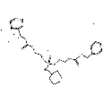 O=C(OCCOP(=O)(NC1CCCCC1)OCCOC(=O)OCc1ccccc1)OCc1ccccc1